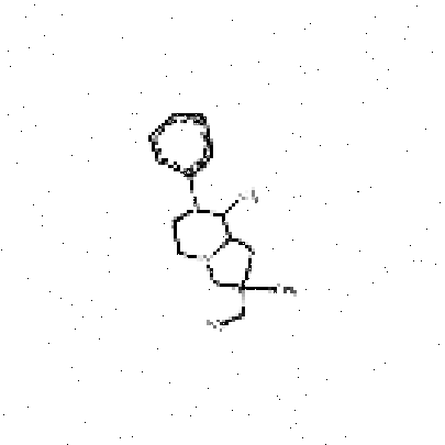 CC1C2CC(C)(CO)CN2CCN1c1ccccc1